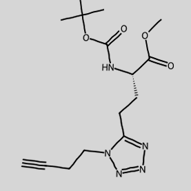 C#CCCn1nnnc1CC[C@H](NC(=O)OC(C)(C)C)C(=O)OC